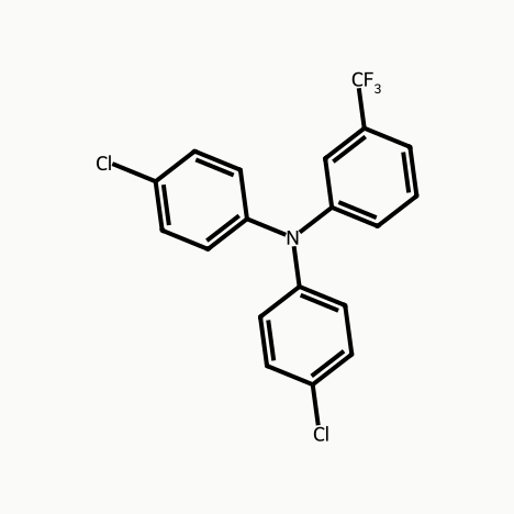 FC(F)(F)c1cccc(N(c2ccc(Cl)cc2)c2ccc(Cl)cc2)c1